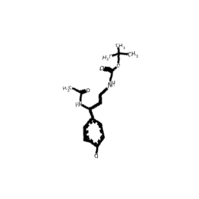 CC(=O)NC(CCNC(=O)OC(C)(C)C)c1ccc(Cl)cc1